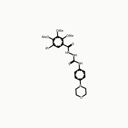 COc1c(C(=O)NNC(=S)Nc2ccc(N3CCOCC3)cc2)cc(C(C)C)c(OC)c1OC